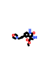 CCOC(=O)c1c[nH]c2c(=O)[nH]c3ccc(C#CCN4CCOCC4)cc3c12